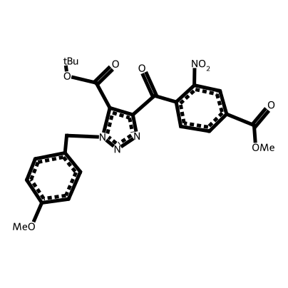 COC(=O)c1ccc(C(=O)c2nnn(Cc3ccc(OC)cc3)c2C(=O)OC(C)(C)C)c([N+](=O)[O-])c1